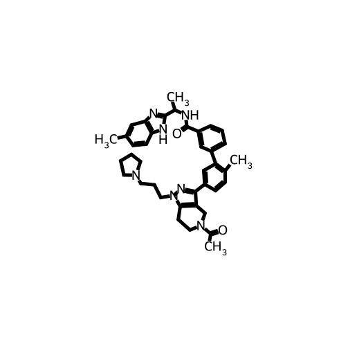 CC(=O)N1CCc2c(c(-c3ccc(C)c(-c4cccc(C(=O)NC(C)c5nc6cc(C)ccc6[nH]5)c4)c3)nn2CCCN2CCCC2)C1